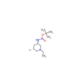 CCN1C[C@H](F)C[C@@H](NC(=O)OC(C)(C)C)C1